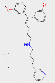 COc1cccc(C(=CCCCNCCCCc2cccnc2)c2cccc(OC)c2)c1